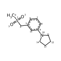 CS(=O)(=O)Cc1cccc(N2CCCC2)c1